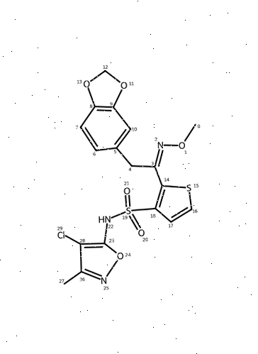 CON=C(Cc1ccc2c(c1)OCO2)c1sccc1S(=O)(=O)Nc1onc(C)c1Cl